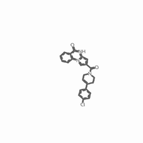 O=C(c1cc2[nH]c(=O)c3ccccc3n2c1)N1CC=C(c2ccc(Cl)cc2)CC1